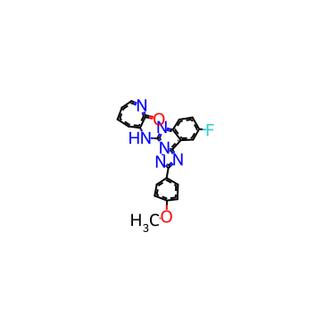 COc1ccc(-c2nc3c4cc(F)ccc4nc(Nc4ccccnc4=O)n3n2)cc1